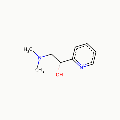 CN(C)C[C@@H](O)c1ccccn1